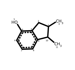 CC1Cc2c(O)cccc2C1C